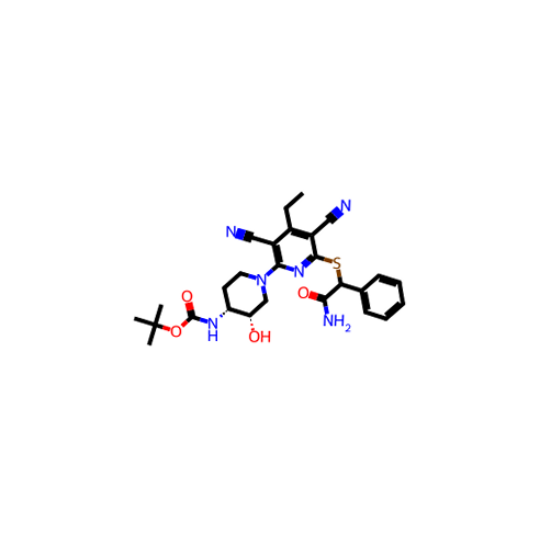 CCc1c(C#N)c(SC(C(N)=O)c2ccccc2)nc(N2CC[C@@H](NC(=O)OC(C)(C)C)[C@@H](O)C2)c1C#N